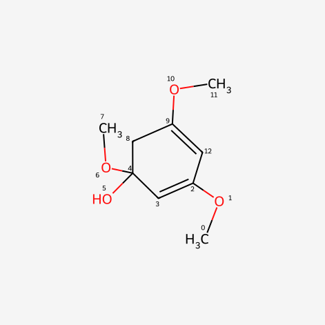 COC1=CC(O)(OC)CC(OC)=C1